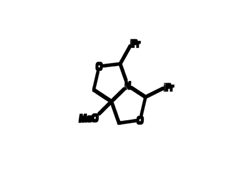 COC12COC(C(C)C)N1C(C(C)C)OC2